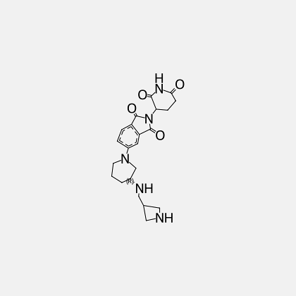 O=C1CCC(N2C(=O)c3ccc(N4CCC[C@@H](NCC5CNC5)C4)cc3C2=O)C(=O)N1